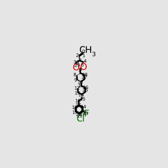 C/C=C/[C@H]1CO[C@H]([C@H]2CC[C@H]([C@H]3CC[C@H](CCc4ccc(Cl)c(F)c4)CC3)CC2)OC1